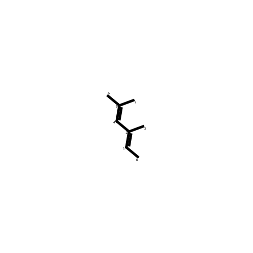 C/C=C(\C)[C]=C(C)C